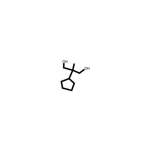 CC(CO)(CO)C1CCCC1